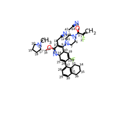 C=C(F)C(=O)N1CCN(C2=C(CC#N)C(OC[C@@H]3CCCN3C)=NC3C=C(c4cccc5c4CCCC5)C(F)=CC23)C[C@@H]1CC#N